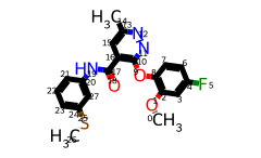 COc1cc(F)ccc1Oc1nnc(C)cc1C(=O)Nc1cccc(SC)c1